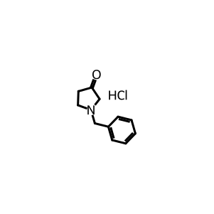 Cl.O=C1CCN(Cc2ccccc2)C1